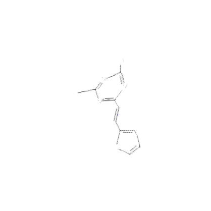 Cc1nc(C)nc(/C=C/c2cccs2)n1